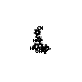 N#Cc1ccc(Cc2ncc(C(CC(O)C34CC5CC(CC(C5)C3)C4)N3CCNC(=O)C3)[nH]2)cc1